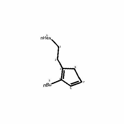 CCCCCCCCC1=C(CCCC)C=CC1